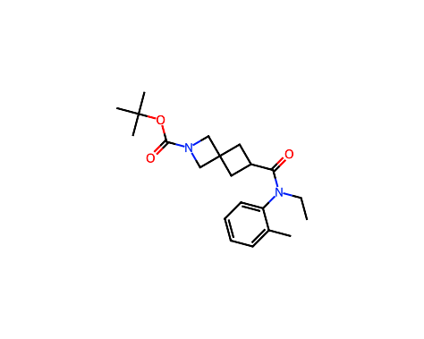 CCN(C(=O)C1CC2(C1)CN(C(=O)OC(C)(C)C)C2)c1ccccc1C